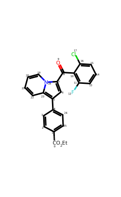 CCOC(=O)c1ccc(-c2cc(C(=O)c3c(F)cccc3Cl)n3ccccc23)cc1